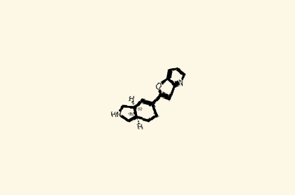 C1=C(c2cc3ncccc3o2)CC[C@H]2CNC[C@@H]12